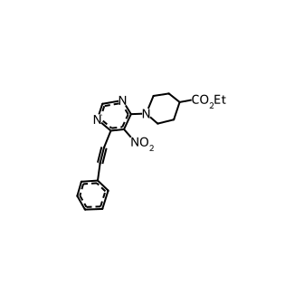 CCOC(=O)C1CCN(c2ncnc(C#Cc3ccccc3)c2[N+](=O)[O-])CC1